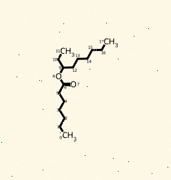 CCCCCCC(=O)OC(CC)CCCCCC